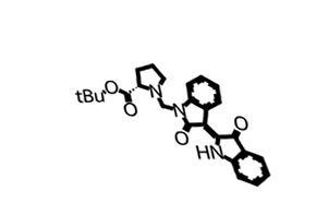 CC(C)(C)OC(=O)[C@@H]1CCCN1CN1C(=O)/C(=C2\Nc3ccccc3C2=O)c2ccccc21